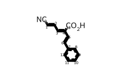 N#CC=CC=C(C=Cc1ccccc1)C(=O)O